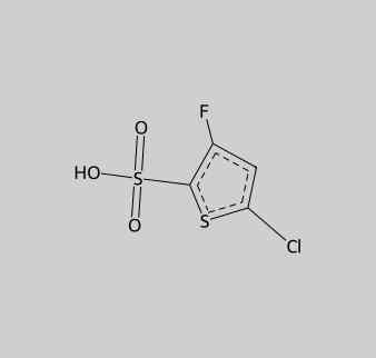 O=S(=O)(O)c1sc(Cl)cc1F